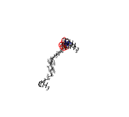 CCCCCCCCCCCCCCCCCCOS(=O)(=O)C(C(=O)[O-])[N+](C)(C)C